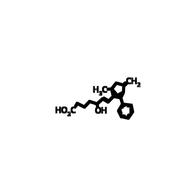 C=C1CC2(C)CC1C(c1ccccc1)=C2C=CC(O)CCCC(=O)O